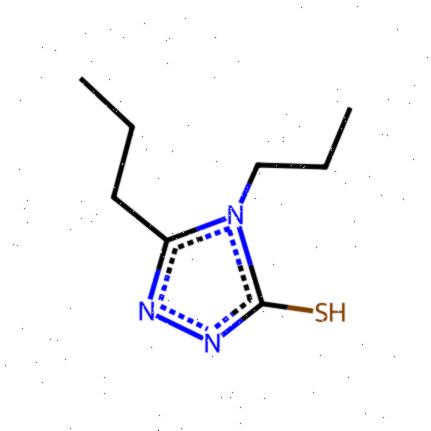 CCCc1nnc(S)n1CCC